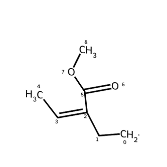 [CH2]CC(=CC)C(=O)OC